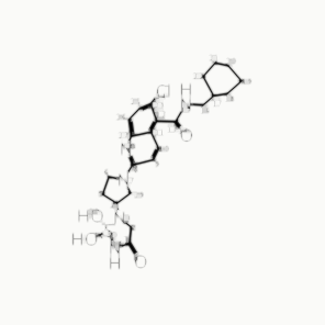 O=C1CN([C@H]2CCN(c3ccc4c(C(=O)NCC5CCCCC5)c(Cl)ccc4n3)C2)S(O)(O)N1